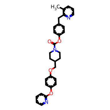 Cc1cccnc1Cc1ccc(OC(=O)N2CCC(COc3ccc(Oc4ccccn4)cc3)CC2)cc1